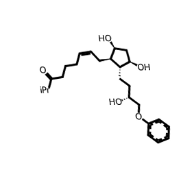 CC(C)C(=O)CCC/C=C\C[C@@H]1[C@@H](CC[C@@H](O)COc2ccccc2)[C@H](O)C[C@@H]1O